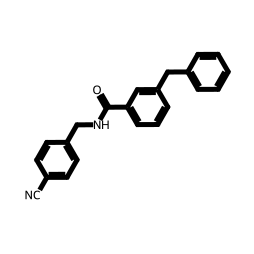 N#Cc1ccc(CNC(=O)c2cccc(Cc3ccccc3)c2)cc1